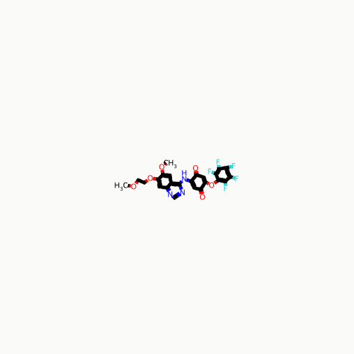 COCCOc1cc2ncnc(NC3=CC(=O)C(Oc4c(F)c(F)c(F)c(F)c4F)=CC3=O)c2cc1OC